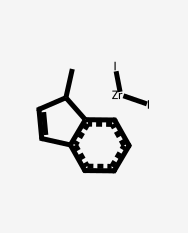 C[C]1C=Cc2ccccc21.[I][Zr][I]